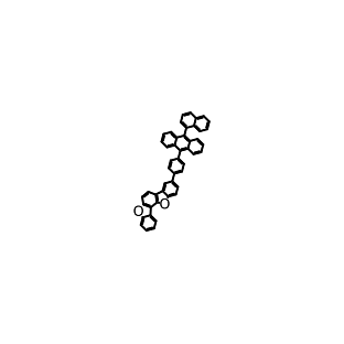 c1ccc2c(-c3c4ccccc4c(-c4ccc(-c5ccc6oc7c(ccc8oc9ccccc9c87)c6c5)cc4)c4ccccc34)cccc2c1